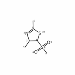 CC1=NC(C)C(S(C)(=O)=O)S1